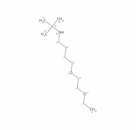 CCOCCOCCCCNC(C)(C)C